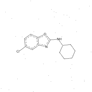 Clc1ccc2oc(NC3CCCCC3)nc2c1